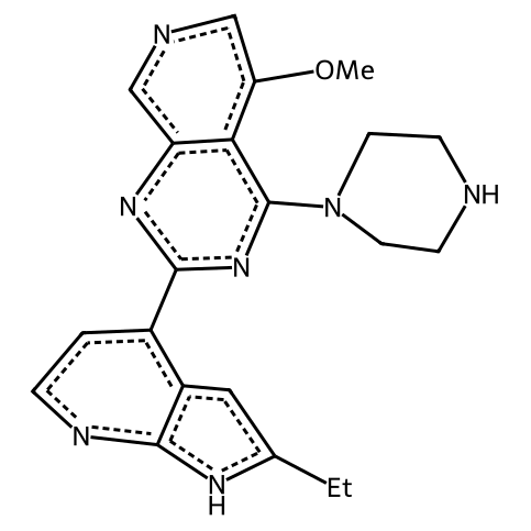 CCc1cc2c(-c3nc(N4CCNCC4)c4c(OC)cncc4n3)ccnc2[nH]1